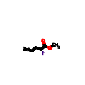 COC(=O)CC[CH2][Zn+].[I-]